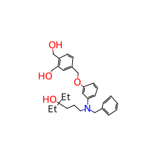 CCC(O)(CC)CCCN(Cc1ccccc1)c1cccc(OCc2ccc(CO)c(CO)c2)c1